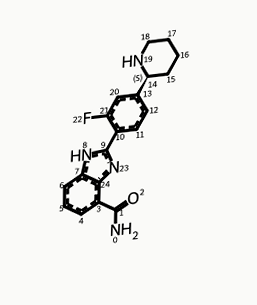 NC(=O)c1cccc2[nH]c(-c3ccc([C@@H]4CCCCN4)cc3F)nc12